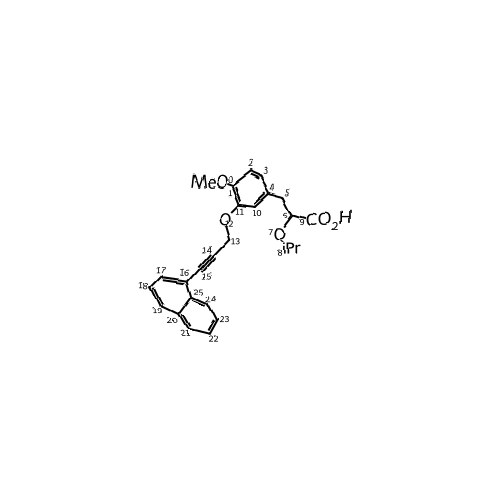 COc1ccc(CC(OC(C)C)C(=O)O)cc1OCC#Cc1cccc2ccccc12